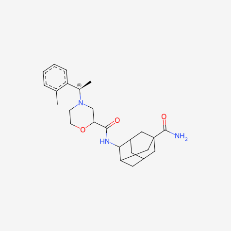 Cc1ccccc1[C@@H](C)N1CCOC(C(=O)NC2C3CC4CC2CC(C(N)=O)(C4)C3)C1